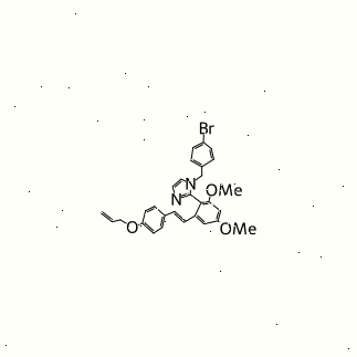 C=CCOc1ccc(C=Cc2cc(OC)cc(OC)c2-c2nccn2Cc2ccc(Br)cc2)cc1